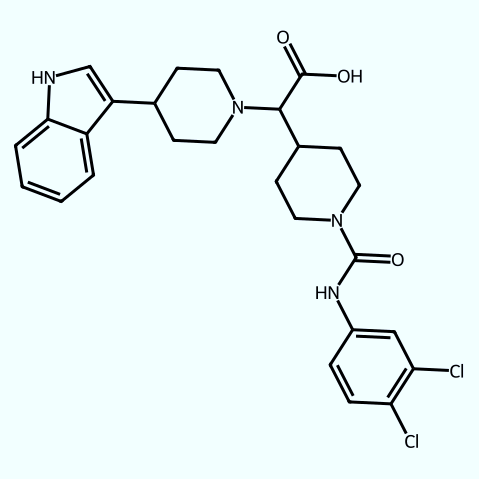 O=C(O)C(C1CCN(C(=O)Nc2ccc(Cl)c(Cl)c2)CC1)N1CCC(c2c[nH]c3ccccc23)CC1